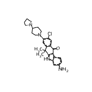 CC1(C)c2cc(N3CCC(N4CCCC4)CC3)c(Cl)cc2C(=O)c2c1[nH]c1cc(N)ccc21